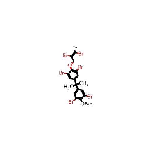 CC/C(Br)=C(\Br)COc1c(Br)cc(C(C)(C)c2cc(Br)c(OC)c(Br)c2)cc1Br